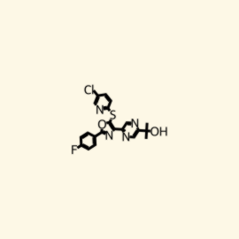 CC(C)(O)c1cnc(-c2nc(-c3ccc(F)cc3)oc2Sc2ccc(Cl)cn2)cn1